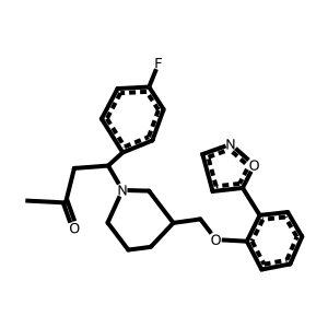 CC(=O)CC(c1ccc(F)cc1)N1CCCC(COc2ccccc2-c2ccno2)C1